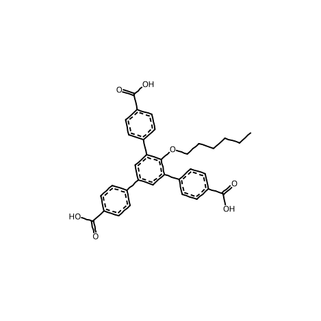 CCCCCCOc1c(-c2ccc(C(=O)O)cc2)cc(-c2ccc(C(=O)O)cc2)cc1-c1ccc(C(=O)O)cc1